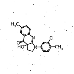 Cc1ccc2c(c1)C(=O)C1(O)CCN(c3ccc(C)c(Cl)c3)C1=N2